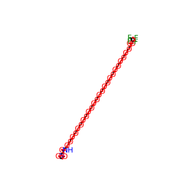 O=C(CCN1C(=O)C=CC1=O)NCCOCCOCCOCCOCCOCCOCCOCCOCCOCCOCCOCCOCCOCCOCCOCCOCCOCCOCCOCCOCCOCCOCCOCCOCCC(=O)Oc1c(F)c(F)cc(F)c1F